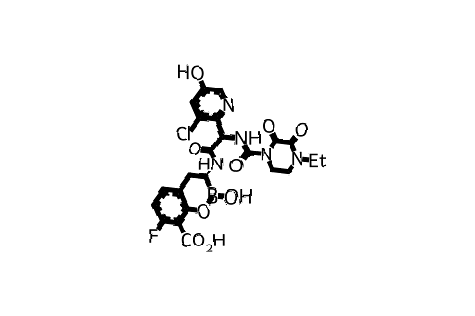 CCN1CCN(C(=O)NC(C(=O)N[C@H]2Cc3ccc(F)c(C(=O)O)c3OB2O)c2ncc(O)cc2Cl)C(=O)C1=O